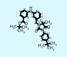 CC(C)(C)OC(=O)c1cccc(Nc2cc(CN3C(=O)N(c4ccc(C(C)(C)C)cc4)C(=O)C3(C)C)ccn2)c1